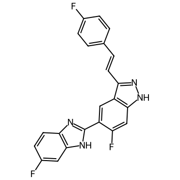 Fc1ccc(C=Cc2n[nH]c3cc(F)c(-c4nc5ccc(F)cc5[nH]4)cc23)cc1